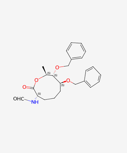 C[C@@H]1OC(=O)[C@@H](NC=O)CCC[C@H](OCc2ccccc2)[C@H]1OCc1ccccc1